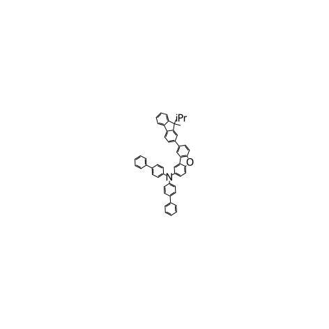 CC(C)C1(C)c2ccccc2-c2ccc(-c3ccc4oc5ccc(N(c6ccc(-c7ccccc7)cc6)c6ccc(-c7ccccc7)cc6)cc5c4c3)cc21